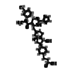 COC(=O)C1=C(CN2CCN3C(O)N(c4ccc(CCC(=O)O)cc4)C[C@@H]3C2)NC(c2nccs2)=N[C@H]1c1ccc(Cl)cc1